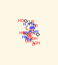 CSCC[C@H](NC(=O)[C@H](Cc1ccccc1)NC(=O)CNC(=O)[C@@H](C)NC(=O)[C@@H](N)Cc1ccc(O)cc1)C(=O)N[C@H](C(=O)N[C@@H](CO)C(=O)N[C@@H](CCC(=O)O)C(=O)O)C(C)O